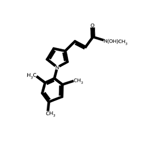 Cc1cc(C)c(-n2ccc(C=CC(=O)N(C)O)c2)c(C)c1